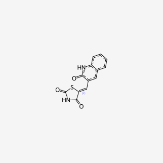 O=C1NC(=O)/C(=C/c2cc3ccccc3[nH]c2=O)S1